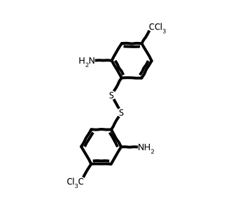 Nc1cc(C(Cl)(Cl)Cl)ccc1SSc1ccc(C(Cl)(Cl)Cl)cc1N